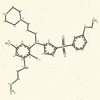 CCOc1cccc(S(=O)(=O)c2cnc(N(CCCN3CCOCC3)c3nc(C)nc(NCCOC)c3F)s2)c1